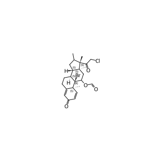 CC1C[C@H]2[C@@H]3CCC4=CC(=O)C=C[C@]4(C)[C@@]3(Br)C(OC=O)C[C@]2(C)[C@@]1(C)C(=O)CCl